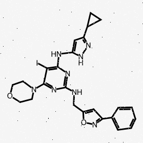 Ic1c(Nc2cc(C3CC3)n[nH]2)nc(NCc2cc(-c3ccccc3)no2)nc1N1CCOCC1